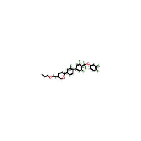 CCCOCCC1CCC(c2ccc(-c3cc(F)c(C(F)(F)Oc4ccc(F)c(F)c4)c(F)c3)c(F)c2)OC1